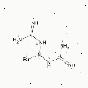 CCC(C)N(NC(=N)N)NC(=N)N